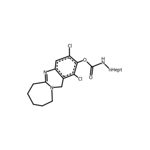 CCCCCCCNC(=O)Oc1c(Cl)cc2c(c1Cl)CN1CCCCCC1=N2